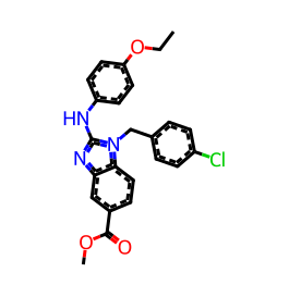 CCOc1ccc(Nc2nc3cc(C(=O)OC)ccc3n2Cc2ccc(Cl)cc2)cc1